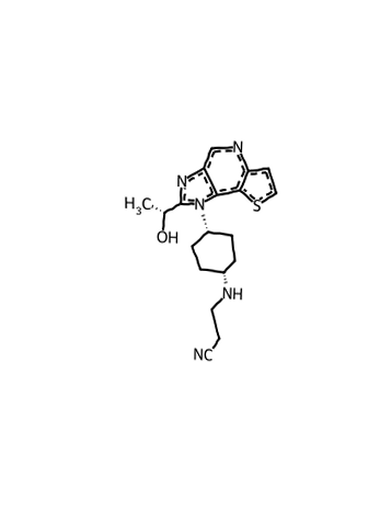 C[C@@H](O)c1nc2cnc3ccsc3c2n1[C@H]1CC[C@@H](NCCC#N)CC1